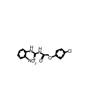 O=C(COc1ccc(Cl)cc1)NC(=S)Nc1ccccc1[N+](=O)[O-]